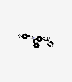 COc1ccc(CO/N=C(\Cc2ccccc2)c2ccc(OCC(=O)N3CCOCC3)cc2)cc1